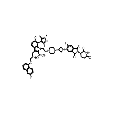 Cc1nn(C)c(C)c1-c1c(Cl)ccc2c(CCCOc3cccc4cc(F)ccc34)c(C(O)O)n(CCN3CCN(C4CN(c5cc6c(cc5F)C(=O)N(C5CCC(=O)NC5=O)C6=O)C4)CC3)c12